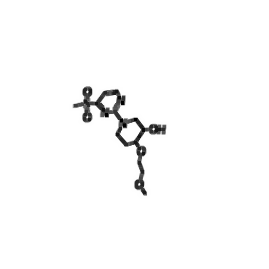 COCCOC1CCN(c2nccc(S(C)(=O)=O)n2)CC1O